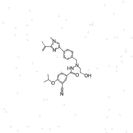 C=C(C)c1nc(-c2ccc(CN(CCO)NC(=O)c3ccc(OC(C)C)c(C#N)c3)cc2)cn1C